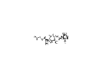 CCCCCNc1ccc(CCn2ccnc2C)c(Cl)c1